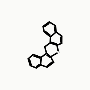 c1ccc2c3c(ccc2c1)Oc1ccc2ccccc2c1C3